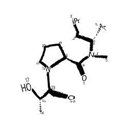 CC(=O)[C@@H](CC(C)C)N(C)C(=O)[C@@H]1CCCN1C(=O)[C@H](C)O